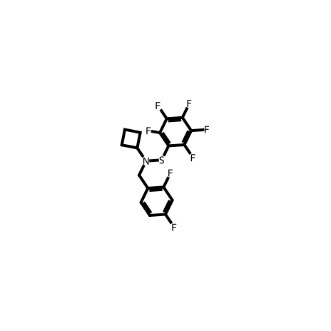 Fc1ccc(CN(Sc2c(F)c(F)c(F)c(F)c2F)C2CCC2)c(F)c1